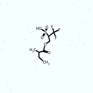 CCC(C)C(=O)OCC(C(F)(F)F)S(=O)(=O)O